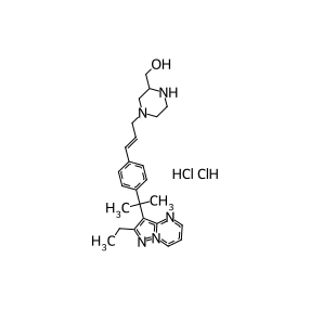 CCc1nn2cccnc2c1C(C)(C)c1ccc(C=CCN2CCNC(CO)C2)cc1.Cl.Cl